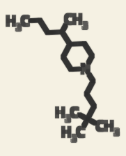 CCCC(C)C1CCN(CCCC(C)(C)C)CC1